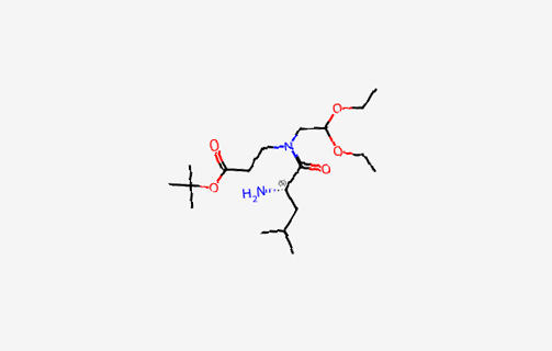 CCOC(CN(CCC(=O)OC(C)(C)C)C(=O)[C@@H](N)CC(C)C)OCC